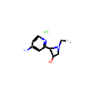 Cl.Nc1ccnc(C2C(O)CN2CC(F)(F)F)c1